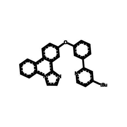 CC(C)(C)c1ccnc(-c2cccc(Oc3ccc4c5ccccc5n5ccnc5c4c3)c2)c1